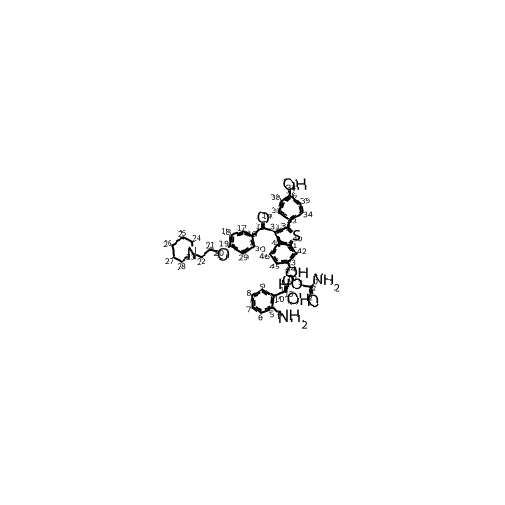 NC(=O)O.Nc1ccccc1C(=O)O.O=C(c1ccc(OCCN2CCCCC2)cc1)c1c(-c2ccc(O)cc2)sc2cc(O)ccc12